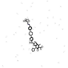 CC(=O)c1c(C)c2cnc(Nc3ccc(N4CCN(c5ccc(/C=C/C(=O)NO)cc5)CC4)cn3)nc2n(C2CCCC2)c1=O